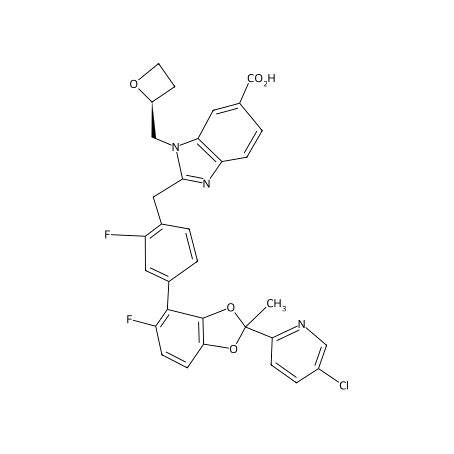 CC1(c2ccc(Cl)cn2)Oc2ccc(F)c(-c3ccc(Cc4nc5ccc(C(=O)O)cc5n4C[C@@H]4CCO4)c(F)c3)c2O1